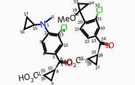 CN(c1ccc(C(=O)[C@H]2C[C@@H]2C(=O)O)cc1Cl)C1CC1.COC1(c2ccc(C(=O)[C@H]3C[C@@H]3C(=O)O)cc2Cl)CC1